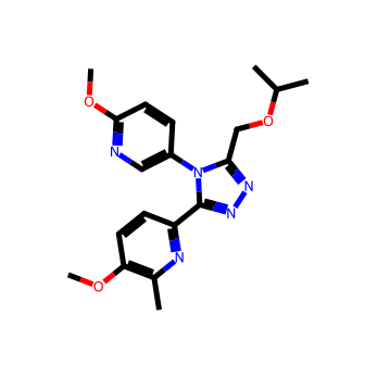 COc1ccc(-n2c(COC(C)C)nnc2-c2ccc(OC)c(C)n2)cn1